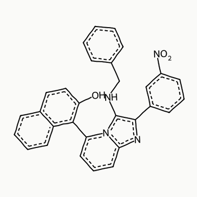 O=[N+]([O-])c1cccc(-c2nc3cccc(-c4c(O)ccc5ccccc45)n3c2NCc2ccccc2)c1